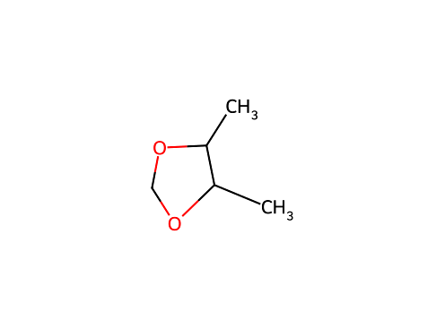 CC1OCOC1C